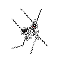 CCCCCCCCCCCCCC(=O)OC(CCCCCCCCCCC)CC(=O)O[C@@H]1[C@@H](NC(=O)CC(CCCCCCCCCCC)OC(=O)CCCCCCCCCCC)[C@H](OC[C@H]2O[C@H](OP(=O)(O)O)[C@H](NC(=O)CC(O)CCCCCCCCCCC)[C@@H](OC(=O)CCCCCCCCCCCCC)[C@@H]2O)O[C@H](CO)[C@H]1OP(=O)(O)O